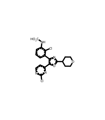 O=C(O)Nc1cccc(-c2nc(C3CCOCC3)oc2-c2ccnc(Cl)n2)c1Cl